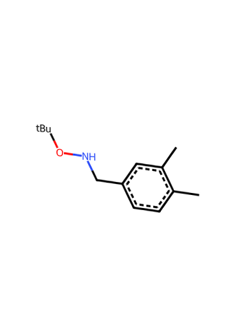 Cc1ccc(CNOC(C)(C)C)cc1C